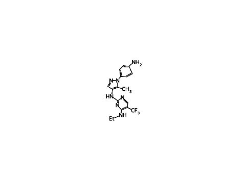 CCNc1nc(Nc2cnn(-c3ccc(N)cc3)c2C)ncc1C(F)(F)F